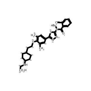 CCCCN(C(=O)c1ccccc1Cl)c1nnc(-c2cc(C)c(OCCC3CCC(NCC(=O)O)CC3)c(C)c2)s1